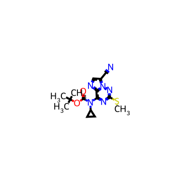 CSc1nc(N(C(=O)OC(C)(C)C)C2CC2)c2ncc(C#N)n2n1